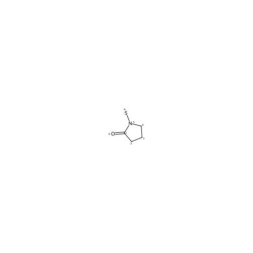 O=C1CCCN1[S]